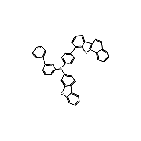 c1ccc(-c2cccc(N(c3ccc(-c4cccc5c4sc4c6ccccc6ccc54)cc3)c3ccc4c(c3)oc3ccccc34)c2)cc1